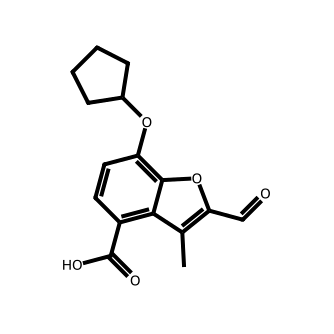 Cc1c(C=O)oc2c(OC3CCCC3)ccc(C(=O)O)c12